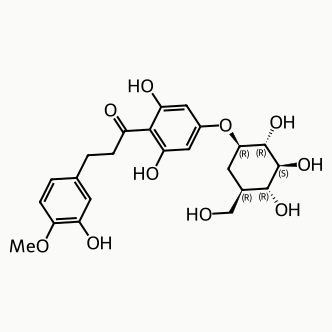 COc1ccc(CCC(=O)c2c(O)cc(O[C@@H]3C[C@H](CO)[C@@H](O)[C@H](O)[C@H]3O)cc2O)cc1O